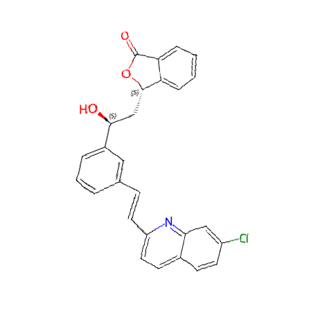 O=C1O[C@@H](C[C@H](O)c2cccc(C=Cc3ccc4ccc(Cl)cc4n3)c2)c2ccccc21